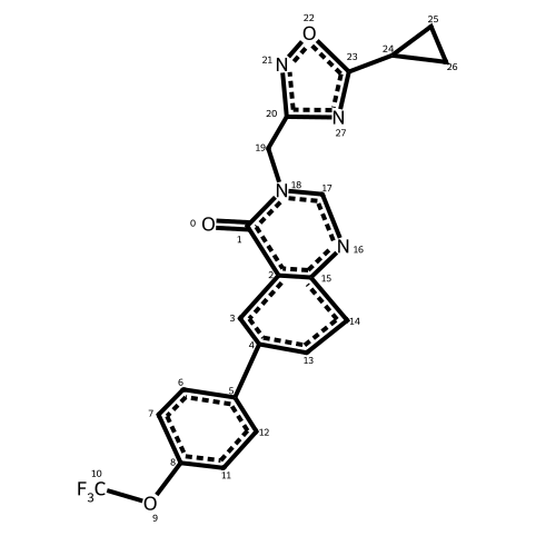 O=c1c2cc(-c3ccc(OC(F)(F)F)cc3)ccc2ncn1Cc1noc(C2CC2)n1